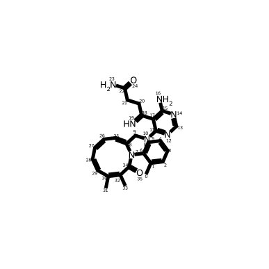 Cc1ccccc1-n1c(CNc2ncnc(N)c2C(=N)CCC(N)=O)cccccc(C)c(C)c1=O